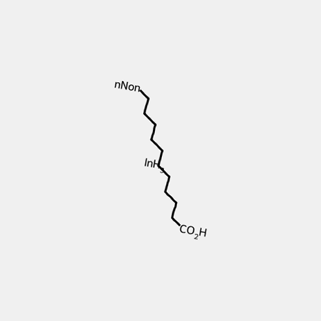 CCCCCCCCCCCCCCCCCCCC(=O)O.[InH3]